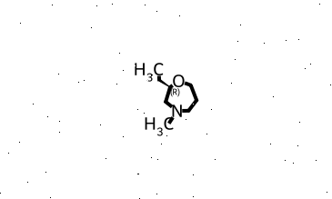 CC[C@@H]1CN(C)CCCO1